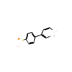 C/C=C(\C=C/CC)c1ccc([SH](=O)=O)cc1